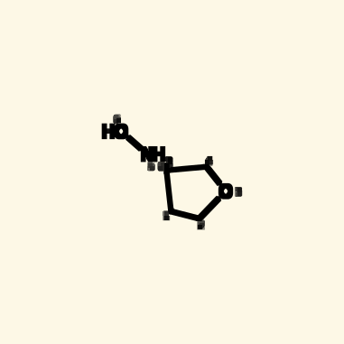 C1CCOC1.NO